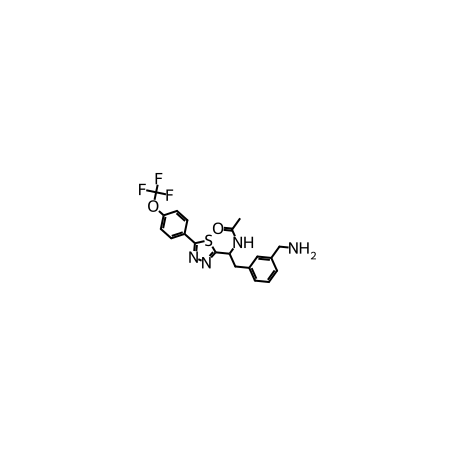 CC(=O)NC(Cc1cccc(CN)c1)c1nnc(-c2ccc(OC(F)(F)F)cc2)s1